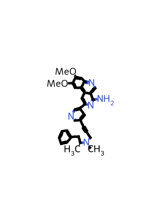 COc1cc2ncc3c(N)nc(-c4cncc(C#CCN(C)[C@H](C)Cc5ccccc5)c4)cc3c2cc1OC